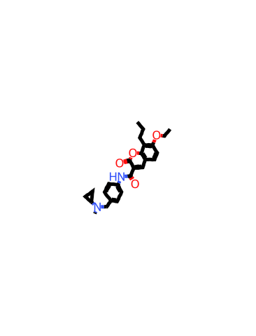 CCCc1c(OCC)ccc2cc(C(=O)Nc3ccc(CN(C)C4CC4)cc3)c(=O)oc12